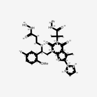 COc1ccc(F)cc1[C@H](Cn1c(=O)n(C(C)(C)C(=O)NC(C)C)c(=O)c2c(C)c(-n3nccn3)sc21)OCCC(=O)NO